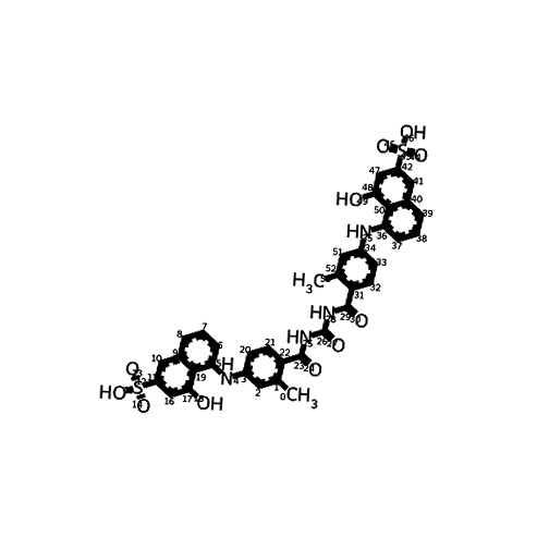 Cc1cc(Nc2cccc3cc(S(=O)(=O)O)cc(O)c23)ccc1C(=O)NC(=O)NC(=O)c1ccc(Nc2cccc3cc(S(=O)(=O)O)cc(O)c23)cc1C